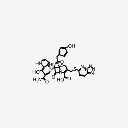 NC(=O)C1=CN([C@@]2(NC(=O)Cc3ccc(O)cc3)C(=O)N3C(C(=O)O)=C(CSc4ccc5nnnn5n4)CS[C@H]32)C2=CC=CNC2=C1O